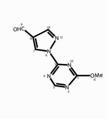 COc1ncnc(-n2cc(C=O)cn2)n1